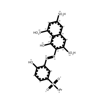 CCCS(=O)(=O)c1ccc(O)c(/N=N/c2c(S(=O)(=O)O)cc3cc(S(=O)(=O)O)cc(S(=O)(=O)O)c3c2O)c1